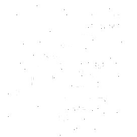 CCNC(=O)c1cc(NS(=O)(=O)c2ccc(C(F)(F)F)cc2Cl)cc(Oc2nc3cc(Cl)ccc3s2)c1